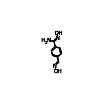 N/C(=N\O)c1ccc(/C=N/O)cc1